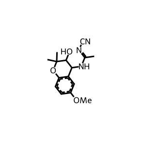 COc1ccc2c(c1)C(NC(C)=NC#N)C(O)C(C)(C)O2